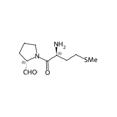 CSCC[C@H](N)C(=O)N1CCC[C@H]1[C]=O